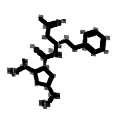 BBN1C[C@H](NB)C[C@H]1C(=O)N[C@@H](CCc1ccccc1)CC(C)=O